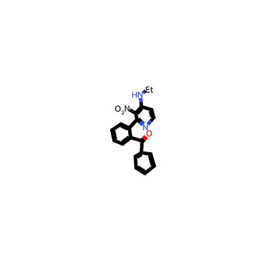 CCNc1ccnc(-c2ccccc2C(=O)c2ccccc2)c1[N+](=O)[O-]